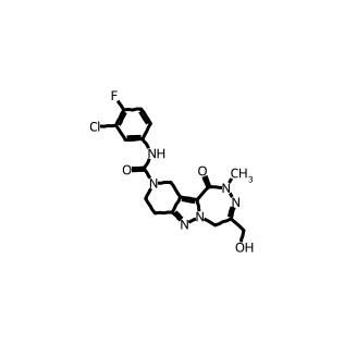 CN1N=C(CO)Cn2nc3c(c2C1=O)CN(C(=O)Nc1ccc(F)c(Cl)c1)CC3